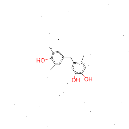 Cc1cc(O)c(O)cc1Cc1cc(C)c(O)c(C)c1